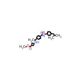 CCOC(=O)C1CC(NC(C)c2ccc(-c3noc(-c4ccc(CC(C)C)cc4)n3)cc2)C1